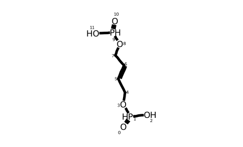 O=[PH](O)OC/C=C/CO[PH](=O)O